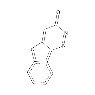 O=C1C=C2C=c3ccccc3=C2N=N1